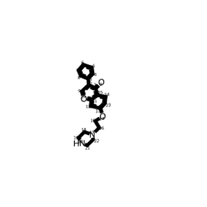 O=c1c(-c2ccccc2)coc2cc(OCCN3CCNCC3)ccc12